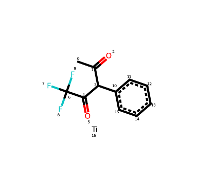 CC(=O)C(C(=O)C(F)(F)F)c1ccccc1.[Ti]